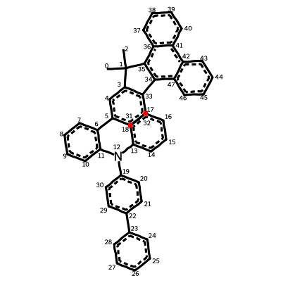 CC1(C)c2cc(-c3ccccc3N(c3ccccc3)c3ccc(-c4ccccc4)cc3)ccc2-c2c1c1ccccc1c1ccccc21